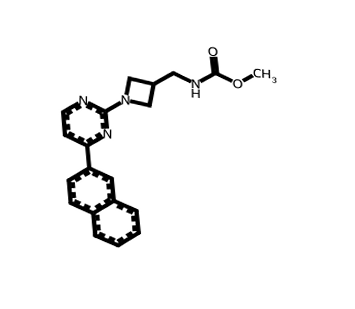 COC(=O)NCC1CN(c2nccc(-c3ccc4ccccc4c3)n2)C1